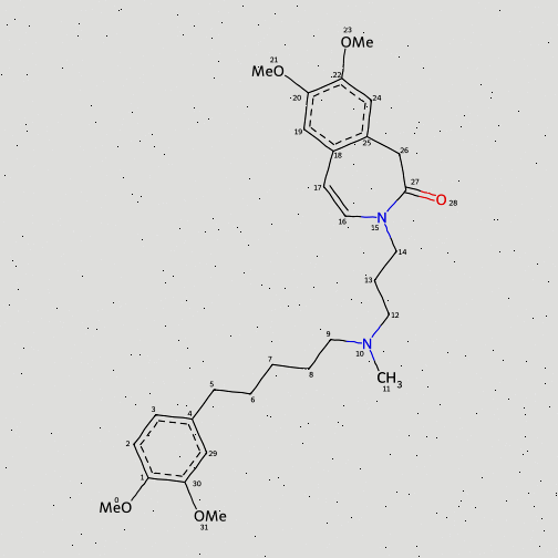 COc1ccc(CCCCCN(C)CCCN2C=Cc3cc(OC)c(OC)cc3CC2=O)cc1OC